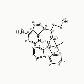 CC(O[Si](c1ccccc1)(c1ccccc1)C(C)(C)C)C(CCO)n1cnc2c(N)ncnc21